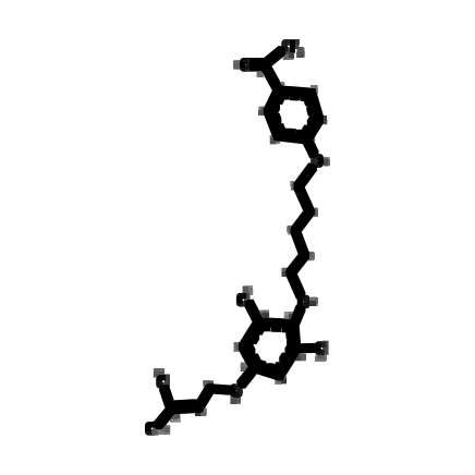 O=C(c1ccc(OCCCCCOc2c(Cl)cc(OCC=C(Cl)Cl)cc2Cl)cc1)C(F)(F)F